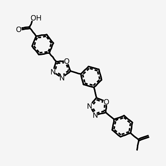 C=C(C)c1ccc(-c2nnc(-c3cccc(-c4nnc(-c5ccc(C(=O)O)cc5)o4)c3)o2)cc1